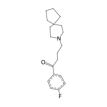 O=C(CCCN1CCC2(CCCC2)CC1)c1ccc(F)cc1